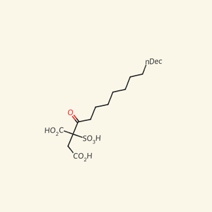 CCCCCCCCCCCCCCCCCC(=O)C(CC(=O)O)(C(=O)O)S(=O)(=O)O